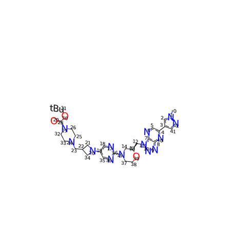 Cn1cc(-c2cnc3c(nnn3C[C@@H]3CN(c4ncc(N5CC(CN6CCN(C(=O)OC(C)(C)C)CC6)C5)cn4)CCO3)n2)cn1